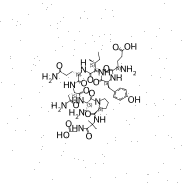 CC[C@H](C)[C@H](NC(=O)[C@H](Cc1ccc(O)cc1)NC(=O)[C@@H](N)CCC(=O)O)C(=O)N[C@@H](CCC(N)=O)C(=O)N[C@@H](CC(N)=O)C(=O)N[C@@H](CN)C(=O)N1CCC[C@H]1C(=O)NC(C)(C)C(=O)NCC(=O)O